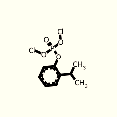 CC(C)c1ccccc1OP(=O)(OCl)OCl